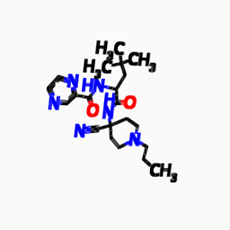 CCCN1CCC(C#N)(NC(=O)C(CC(C)(C)C)NC(=O)c2cnccn2)CC1